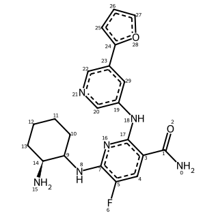 NC(=O)c1cc(F)c(NC2CCCC[C@@H]2N)nc1Nc1cncc(-c2ccco2)c1